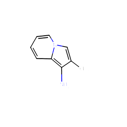 Cc1[c]n2ccccc2c1N